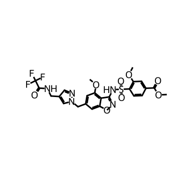 COC(=O)c1ccc(S(=O)(=O)Nc2noc3cc(Cn4cc(CNC(=O)C(F)(F)F)cn4)cc(OC)c23)c(OC)c1